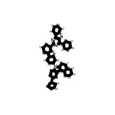 c1ccc(-c2ccc3c(c2)c2c4ccccc4ccc2n3-c2ccc3c(c2)sc2c(-c4nc(-c5ccccc5)c5sc6ccccc6c5n4)cccc23)cc1